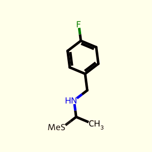 CSC(C)NCc1ccc(F)cc1